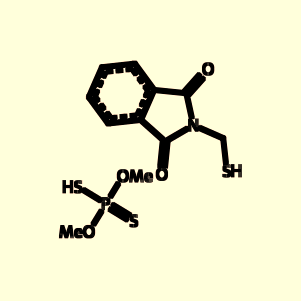 COP(=S)(S)OC.O=C1c2ccccc2C(=O)N1CS